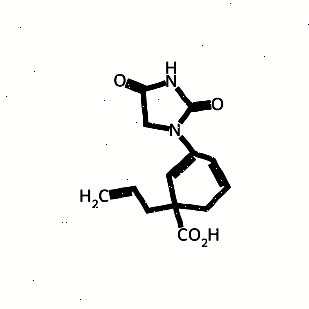 C=CCC1(C(=O)O)C=C(N2CC(=O)NC2=O)C=CC1